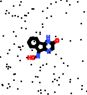 O=c1cnc2c([nH]1)-c1ccccc1C2=NO